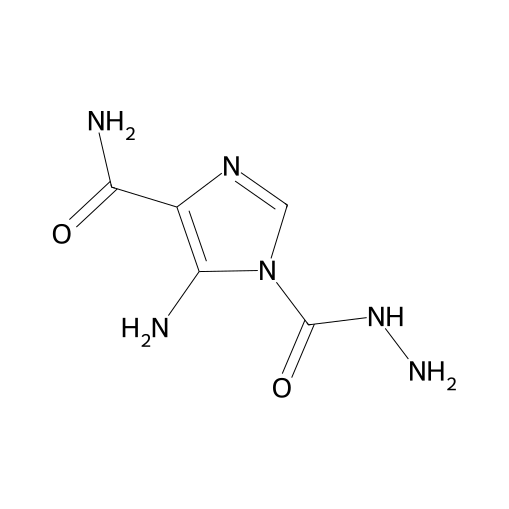 NNC(=O)n1cnc(C(N)=O)c1N